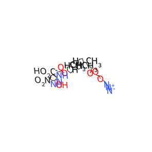 C[C@H](CCC(=O)OCCOCCN=[N+]=[N-])C1CC[C@H]2[C@@H]3CC[C@@H]4C[C@H](OC(=O)[C@H](CC(=O)O)NC5=CC=C([N+](=O)[O-])C(=N)/C5=N\O)CC[C@]4(C)[C@H]3CC[C@]12C